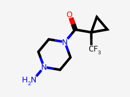 NN1CCN(C(=O)C2(C(F)(F)F)CC2)CC1